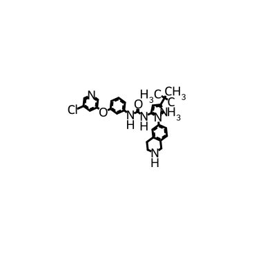 CC(C)(C)c1cc(NC(=O)Nc2cccc(Oc3cncc(Cl)c3)c2)n(-c2ccc3c(c2)CCNC3)n1